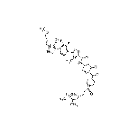 COCCCn1ncc(-c2ccc(-c3cnc(C(=O)Nc4ccc(C(=O)N5CCN(C(=O)CC[C@@H](O)CC(C)C(C)C)CC5)c(Cl)c4)n3C)c(F)c2F)c1C